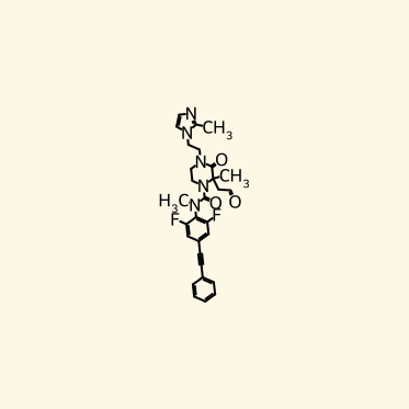 Cc1nccn1CCN1CCN(C(=O)N(C)c2c(F)cc(C#Cc3ccccc3)cc2F)C(C)(CC=O)C1=O